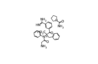 N=C(N)c1cccc(C(=O)[C@@](Cc2ccccc2)(C(=O)O)N(C(=O)CN)c2ccccc2)c1.NC(=O)N1CCCC1